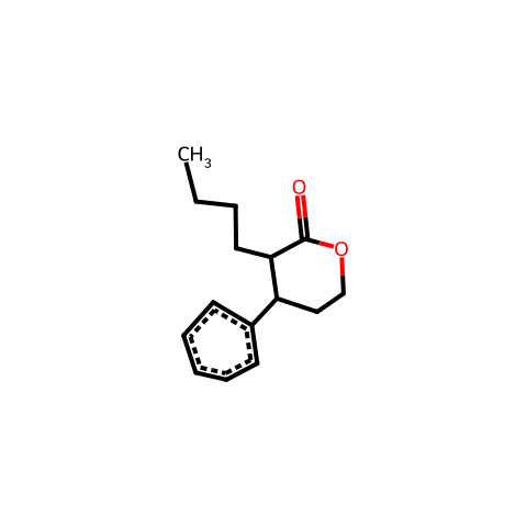 CCCCC1C(=O)OCCC1c1ccccc1